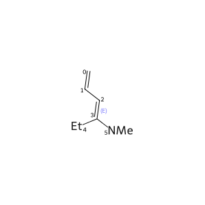 C=C/C=C(\CC)NC